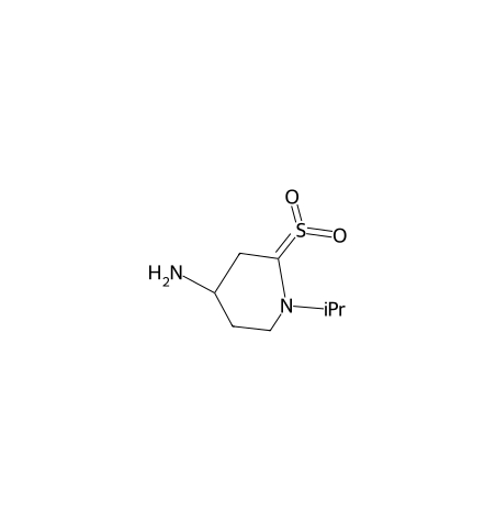 CC(C)N1CCC(N)CC1=S(=O)=O